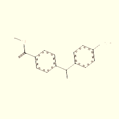 COc1ccc(C(O)c2ccc(C(=O)NC(C)(C)C)cc2)cc1